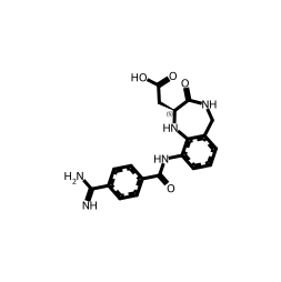 N=C(N)c1ccc(C(=O)Nc2cccc3c2N[C@@H](CC(=O)O)C(=O)NC3)cc1